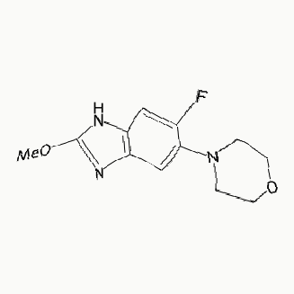 COc1nc2cc(N3CCOCC3)c(F)cc2[nH]1